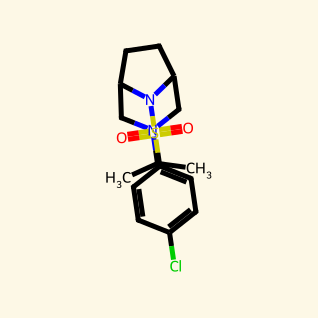 CC(C)N1CC2CCC(C1)N2S(=O)(=O)c1ccc(Cl)cc1